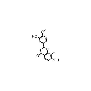 COc1ccc(C2CC(=O)c3ccc(O)c(C)c3O2)cc1O